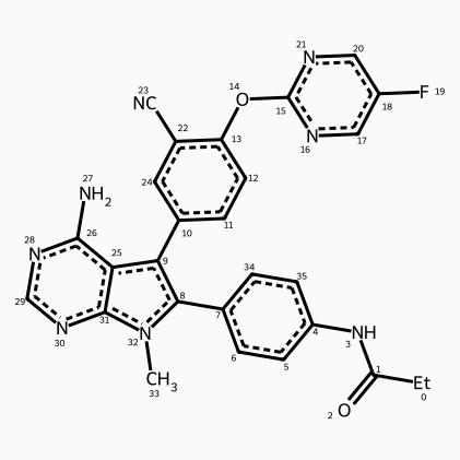 CCC(=O)Nc1ccc(-c2c(-c3ccc(Oc4ncc(F)cn4)c(C#N)c3)c3c(N)ncnc3n2C)cc1